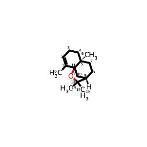 CC1=CCC[C@@]2(C)CC[C@H]3CC12OC3(C)C